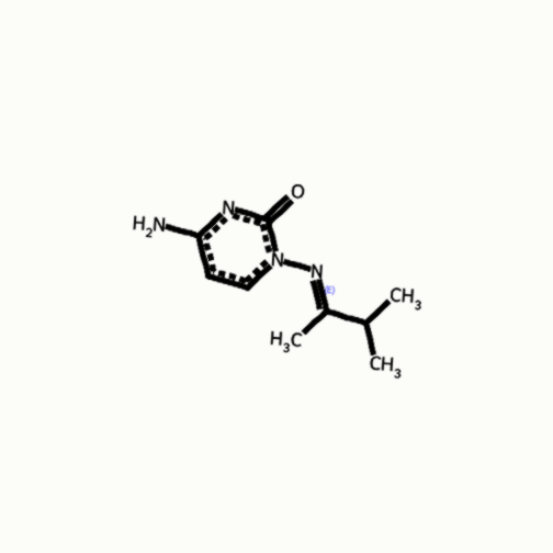 C/C(=N\n1ccc(N)nc1=O)C(C)C